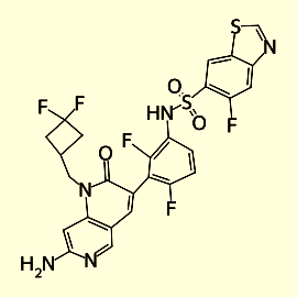 Nc1cc2c(cn1)cc(-c1c(F)ccc(NS(=O)(=O)c3cc4scnc4cc3F)c1F)c(=O)n2CC1CC(F)(F)C1